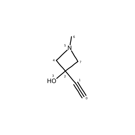 C#CC1(O)CN(C)C1